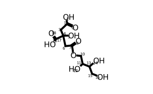 O=C(O)CC(O)(CC(=O)OCC(O)C(O)CO)C(=O)O